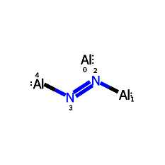 [Al].[Al][N]=[N][Al]